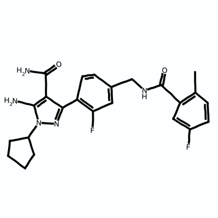 Cc1ccc(F)cc1C(=O)NCc1ccc(-c2nn(C3CCCC3)c(N)c2C(N)=O)c(F)c1